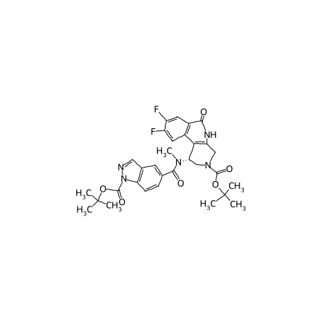 CN(C(=O)c1ccc2c(cnn2C(=O)OC(C)(C)C)c1)[C@H]1CN(C(=O)OC(C)(C)C)Cc2[nH]c(=O)c3cc(F)c(F)cc3c21